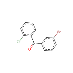 O=C(c1cccc(Br)c1)c1ccccc1Cl